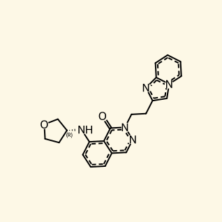 O=c1c2c(N[C@@H]3CCOC3)cccc2cnn1CCc1cn2ccccc2n1